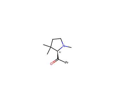 CC(C)C(=O)[C@@H]1N(C)CCC1(C)C